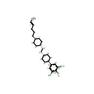 CCC/C=C/CCC[C@H]1CC[C@H](CC[C@H]2CC[C@H](c3cc(F)c(F)c(F)c3)CC2)CC1